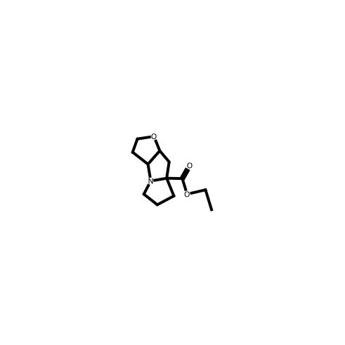 CCOC(=O)C12CCCN1C1CCOC1C2